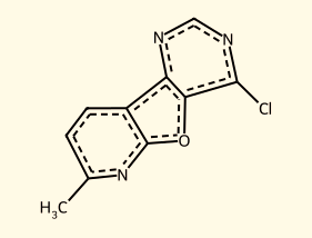 Cc1ccc2c(n1)oc1c(Cl)ncnc12